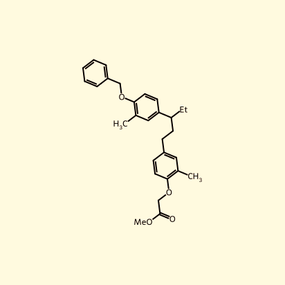 CCC(CCc1ccc(OCC(=O)OC)c(C)c1)c1ccc(OCc2ccccc2)c(C)c1